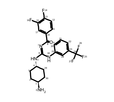 N[C@H]1CC[C@H](N/C(=N/C(=O)c2ccc(F)c(F)c2)Nc2cccc(C(F)(F)F)c2)CC1